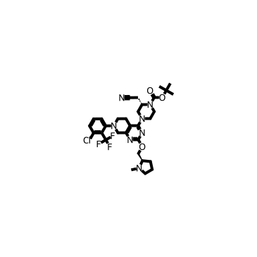 CN1CCC[C@@H]1COc1nc2c(c(N3CCN(C(=O)OC(C)(C)C)[C@@H](CC#N)C3)n1)CCN(c1cccc(Cl)c1C(F)(F)F)C2